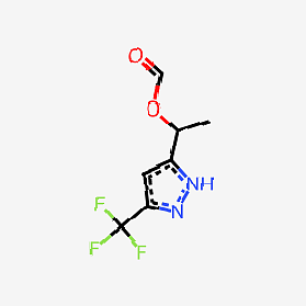 CC(OC=O)c1cc(C(F)(F)F)n[nH]1